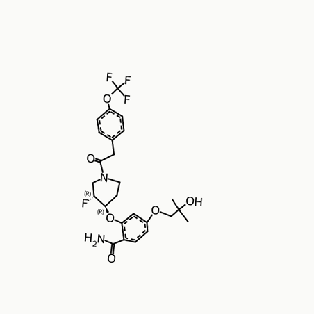 CC(C)(O)COc1ccc(C(N)=O)c(O[C@@H]2CCN(C(=O)Cc3ccc(OC(F)(F)F)cc3)C[C@H]2F)c1